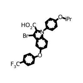 CC(C)Oc1ccc(-n2c(C(=O)O)c(Br)c3cc(Oc4ccc(C(F)(F)F)cc4)ccc32)cc1